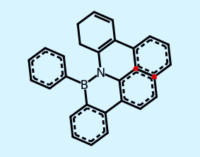 C1=CC(c2ccccc2)=C(N2B(c3ccccc3)c3ccccc3-c3ccccc32)CC1